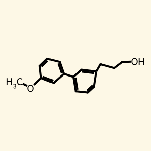 COc1cccc(-c2cccc(CCCO)c2)c1